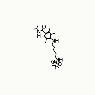 Cc1cc(C(=O)NC(C)C)c(C)c(C)c1NCCCCCNS(=O)(=O)C(C)(C)C